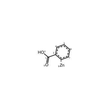 O=C(O)c1cc[c]cc1.[Zn]